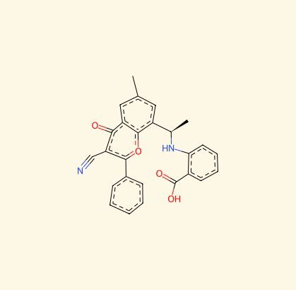 Cc1cc([C@@H](C)Nc2ccccc2C(=O)O)c2oc(-c3ccccc3)c(C#N)c(=O)c2c1